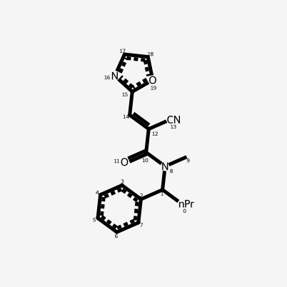 CCCC(c1ccccc1)N(C)C(=O)/C(C#N)=C/c1ncco1